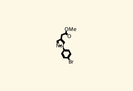 COC(=O)Cc1cnn(-c2ccc(Br)cc2)c1